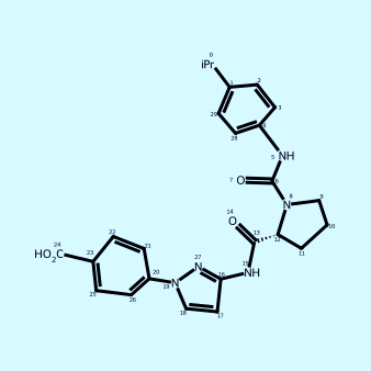 CC(C)c1ccc(NC(=O)N2CCC[C@@H]2C(=O)Nc2ccn(-c3ccc(C(=O)O)cc3)n2)cc1